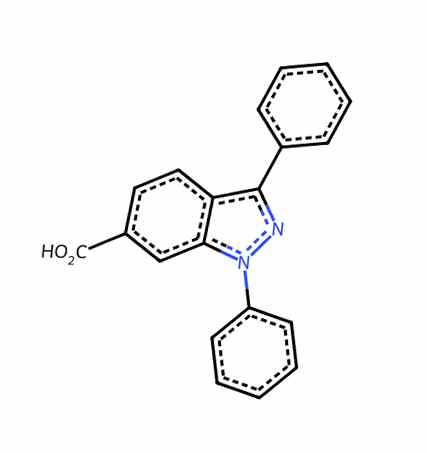 O=C(O)c1ccc2c(-c3ccccc3)nn(-c3ccccc3)c2c1